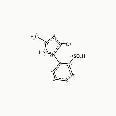 O=c1cc(C(F)(F)F)[nH]n1-c1ccccc1S(=O)(=O)O